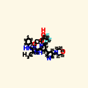 COc1ccccc1Nc1nc(-c2cc(-c3cncc(N4CCOCC4)c3)ccn2)[nH]c1C.O=C(O)C(F)(F)F